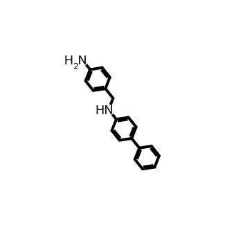 Nc1ccc(CNc2ccc(-c3ccccc3)cc2)cc1